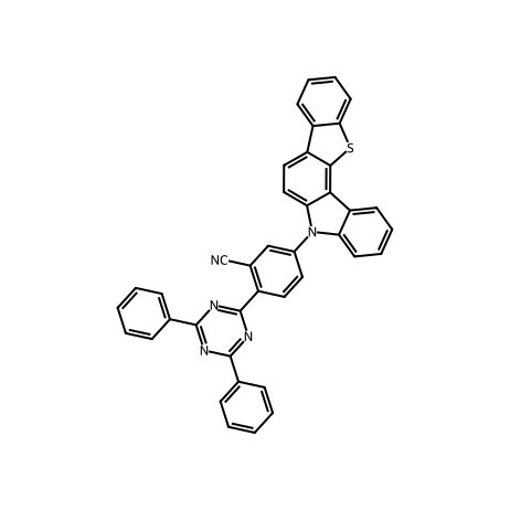 N#Cc1cc(-n2c3ccccc3c3c4sc5ccccc5c4ccc32)ccc1-c1nc(-c2ccccc2)nc(-c2ccccc2)n1